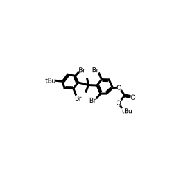 CC(C)(C)OC(=O)Oc1cc(Br)c(C(C)(C)c2c(Br)cc(C(C)(C)C)cc2Br)c(Br)c1